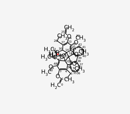 C=COC1=C(CC)C(OC)C(OC)(C2(C3(OC)C(OC)=C(OC)C(OC=C)=C(CC)C3OC)c3ccccc3-c3ccccc32)C(OC)=C1OC